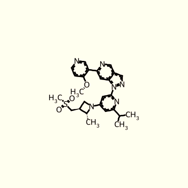 COc1ccncc1-c1cc2c(cn1)cnn2-c1cc(N2C[C@H](CS(C)(=O)=O)[C@H]2C)cc(C(C)C)n1